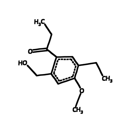 CCC(=O)c1cc(CC)c(OC)cc1CO